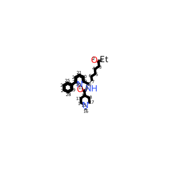 CCC(=O)CCCCC[C@H](NC(=O)C1CCN(C)CC1)c1cccc(-c2ccccc2)n1